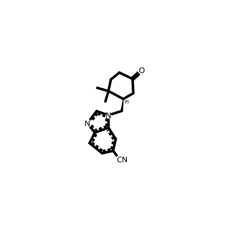 CC1(C)CCC(=O)C[C@H]1Cn1cnc2ccc(C#N)cc21